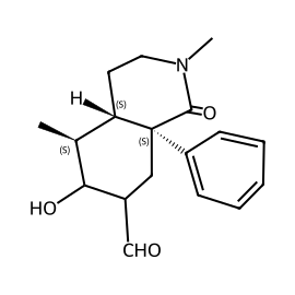 C[C@@H]1C(O)C(C=O)C[C@]2(c3ccccc3)C(=O)N(C)CC[C@@H]12